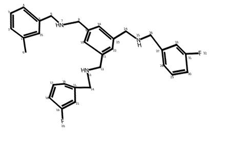 Cc1cccc(CNCc2cc(CNCc3cccc(F)c3)cc(CNCc3cccc(F)c3)c2)c1